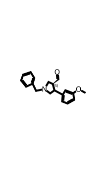 COc1cccc(C2CN(Cc3ccccc3)C[C@H]2C=O)c1